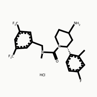 Cc1cc(F)ccc1[C@H]1CC(N)CCN1C(=O)N(C)Cc1cc(C(F)(F)F)cc(C(F)(F)F)c1.Cl